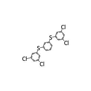 Clc1cc(Cl)cc(Sc2cccc(Sc3cc(Cl)cc(Cl)c3)c2)c1